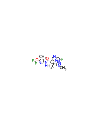 Cc1cc(NC(=O)[C@@H]2C[C@@](C)(c3cnn(C)c3)c3c2cnc2cc(F)nn32)cnc1OC(F)F